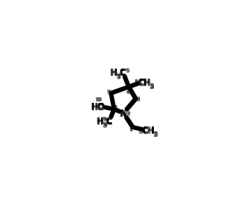 CCN1CC(C)(C)CC1(C)O